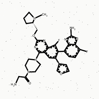 CN1CCC[C@H]1COc1nc(N2CCN(C(=O)CN)CC2)c2cc(-c3ccoc3)c(-c3ccc(F)c4sc(N)nc34)c(F)c2n1